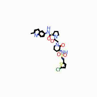 Cc1ccc2cc(NC(=O)[C@@H]3CCCN3C(=O)CN3CCC[C@H](NS(=O)(=O)/C=C/c4ccc(Cl)s4)C3=O)ccc2n1